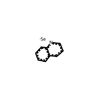 [Se].c1ccc2ncccc2c1